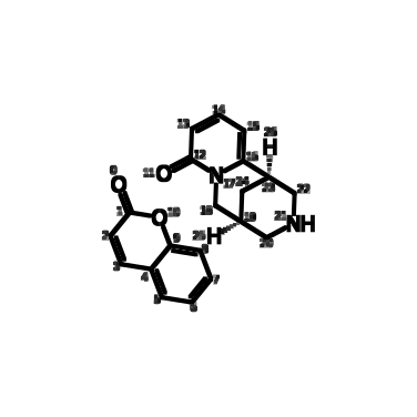 O=c1ccc2ccccc2o1.O=c1cccc2n1C[C@@H]1CNC[C@H]2C1